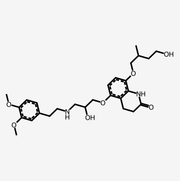 COc1ccc(CCNCC(O)COc2ccc(OCC(C)CCO)c3c2CCC(=O)N3)cc1OC